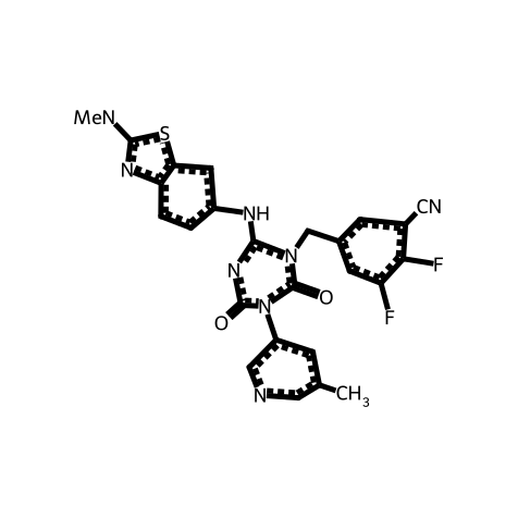 CNc1nc2ccc(Nc3nc(=O)n(-c4cncc(C)c4)c(=O)n3Cc3cc(F)c(F)c(C#N)c3)cc2s1